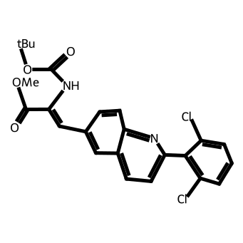 COC(=O)C(=Cc1ccc2nc(-c3c(Cl)cccc3Cl)ccc2c1)NC(=O)OC(C)(C)C